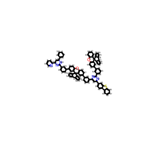 c1ccc(-c2cc(-c3ccccn3)nc(-c3cccc(-c4ccc5c(c4)C4(c6cc(-c7cccc(-c8cc(-c9ccc%10c(c9)sc9ccccc9%10)nc(-c9cccc(-c%10ccc%11c(c%10)C%10(c%12ccccc%12O%11)c%11ccccc%11-c%11ccccc%11%10)c9)n8)c7)ccc6O5)c5ccccc5-c5ccccc54)c3)n2)cc1